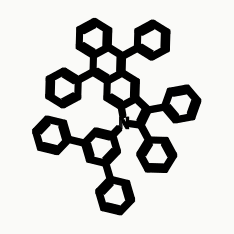 c1ccc(-c2cc(-c3ccccc3)cc(-n3c(-c4ccccc4)c(-c4ccccc4)c4cc5c(-c6ccccc6)c6ccccc6c(-c6ccccc6)c5cc43)c2)cc1